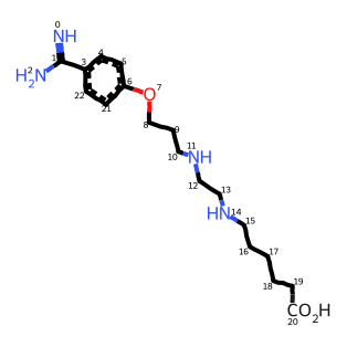 N=C(N)c1ccc(OCCCNCCNCCCCCC(=O)O)cc1